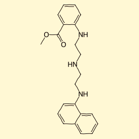 COC(=O)c1ccccc1NCCNCCNc1cccc2ccccc12